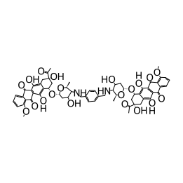 COc1cccc2c1C(=O)c1c(O)c3c(c(O)c1C2=O)C[C@@](O)(C(C)=O)C[C@@H]3O[C@H]1C[C@H](O)[C@H](NCc2ccc(CN[C@@H]3[C@H](C)O[C@@H](O[C@H]4C[C@](O)(C(C)=O)Cc5c(O)c6c(c(O)c54)C(=O)c4c(OC)cccc4C6=O)C[C@@H]3O)cc2)[C@H](C)O1